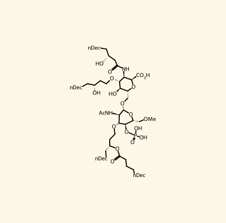 CCCCCCCCCCCCCC(=O)O[C@H](CCCCCCCCCCC)CCO[C@@H]1[C@@H](NC(C)=O)[C@H](OC[C@H]2O[C@H](C(=O)O)[C@H](NC(=O)C[C@H](O)CCCCCCCCCCC)[C@@H](OCC[C@H](O)CCCCCCCCCCC)[C@@H]2O)O[C@H](COC)[C@H]1OP(=O)(O)O